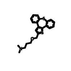 CN(C)CCCOCc1cc2c(s1)-c1ccccc1Sc1ccccc1-2